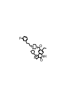 CCc1cc2[nH]c(=O)c3cnn(C4CCCC4)c3c2cc1C(=O)N1CCN(CCCc2cccc(F)c2)CC1